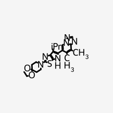 Cc1c(-c2[nH]c3sc(N4CCC5(CC4)OCCO5)nc3c2C(C)C)cn2ncnc2c1C